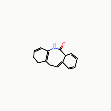 O=C1NC2=C(C/C=C3/C=CC=CC13)CCC=C2